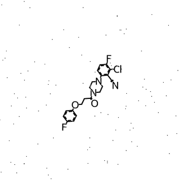 N#Cc1c(N2CCN(C(=O)CCOc3ccc(F)cc3)CC2)ccc(F)c1Cl